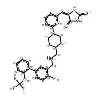 O=C1NC(=O)/C(=C\c2ccnc(N3CCC(CNCc4cc(-c5ccccc5OC(F)(F)F)ncc4F)CC3)n2)S1